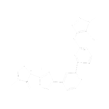 CN1CC[C@@](O)(c2cc(-c3cccc(-c4ccnc(Nc5cnn(C)c5N)n4)c3)no2)C1=O